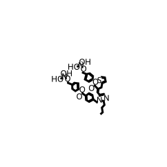 CCCCc1ncc(/C=C(\Cc2cccs2)C(=O)Oc2ccc(CON(O)O)cc2)n1Cc1ccc(C(=O)OC2=CC=C(CON(O)O)CC2)cc1